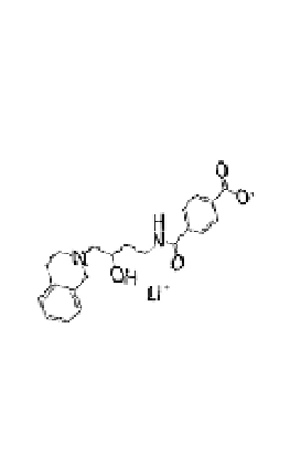 O=C([O-])c1ccc(C(=O)NCCC(O)CN2CCc3ccccc3C2)cc1.[Li+]